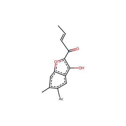 C/C=C/C(=O)c1oc2cc(C)c(C(C)=O)cc2c1O